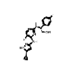 OC[C@H](Nc1ncc(F)c(Nc2cc(C3CC3)[nH]n2)n1)c1ccc(F)cc1